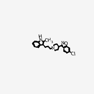 Cc1[nH]c2ccccc2c1CCCN1CCC(c2noc3cc(Cl)ccc23)CC1